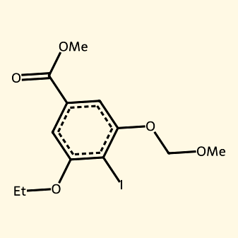 CCOc1cc(C(=O)OC)cc(OCOC)c1I